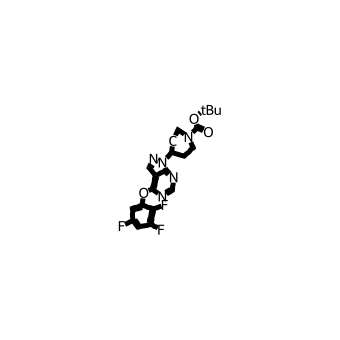 CC(C)(C)OC(=O)N1CCC(n2ncc3c(Oc4cc(F)cc(F)c4F)ncnc32)CC1